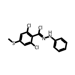 CSc1cc(Cl)c(C(Cl)=NNc2ccccc2)c(Cl)c1